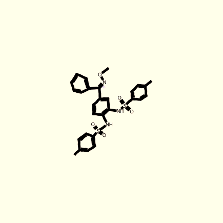 CO/N=C(\c1ccccc1)c1ccc(NS(=O)(=O)c2ccc(C)cc2)c(NS(=O)(=O)c2ccc(C)cc2)c1